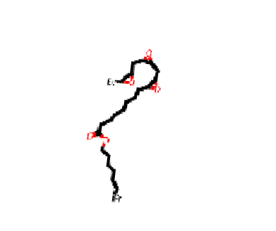 CCC1OC1CC1OC1CC1OC1CCCCCCCC(=O)OCCCCCCC(C)C